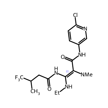 CCN/C(NC(=O)CC(C)C(F)(F)F)=C(\NC)C(=O)Nc1ccc(Cl)nc1